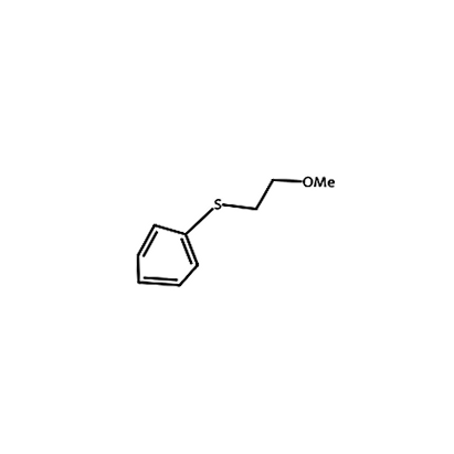 [CH2]OCCSc1ccccc1